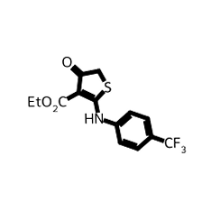 CCOC(=O)C1=C(Nc2ccc(C(F)(F)F)cc2)SCC1=O